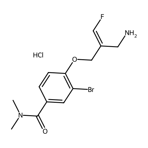 CN(C)C(=O)c1ccc(OCC(=CF)CN)c(Br)c1.Cl